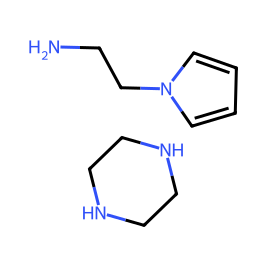 C1CNCCN1.NCCn1cccc1